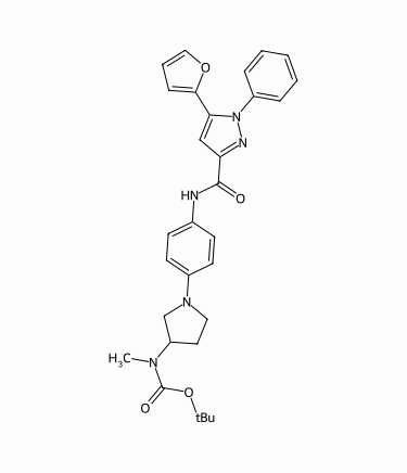 CN(C(=O)OC(C)(C)C)C1CCN(c2ccc(NC(=O)c3cc(-c4ccco4)n(-c4ccccc4)n3)cc2)C1